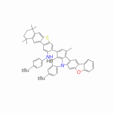 Cc1cc(-c2cc3sc4cc5c(cc4c3cc2Nc2ccc(C(C)(C)C)cc2)C(C)(C)CCC5(C)C)c2c3c1c1cc4c(cc1n3-c1ccc(C(C)(C)C)cc1B2)oc1ccccc14